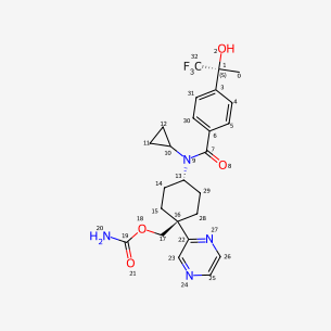 C[C@](O)(c1ccc(C(=O)N(C2CC2)[C@H]2CC[C@@](COC(N)=O)(c3cnccn3)CC2)cc1)C(F)(F)F